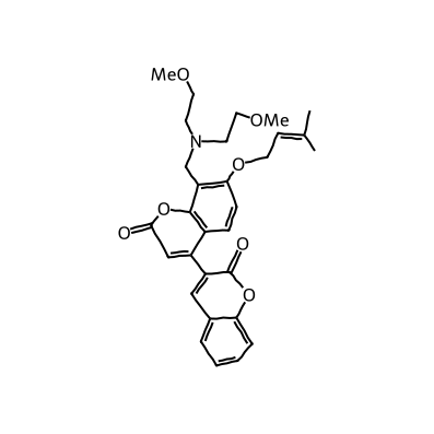 COCCN(CCOC)Cc1c(OCC=C(C)C)ccc2c(-c3cc4ccccc4oc3=O)cc(=O)oc12